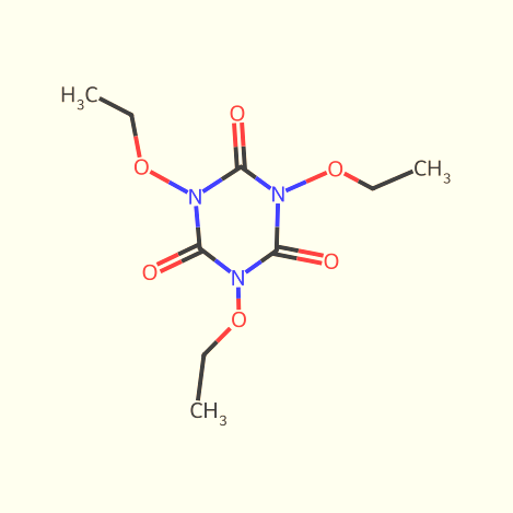 CCOn1c(=O)n(OCC)c(=O)n(OCC)c1=O